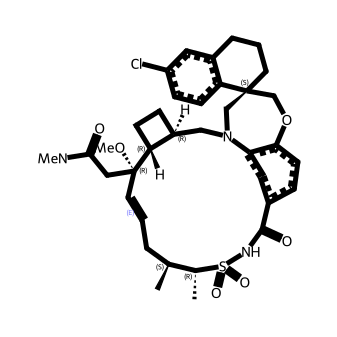 CNC(=O)C[C@]1(OC)/C=C/C[C@H](C)[C@@H](C)S(=O)(=O)NC(=O)c2ccc3c(c2)N(C[C@@H]2CC[C@H]21)C[C@@]1(CCCc2cc(Cl)ccc21)CO3